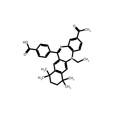 CCN1c2ccc(C(C)=O)cc2N=C(c2ccc(C(=O)O)cc2)c2cc3c(cc21)C(C)(C)CCC3(C)C